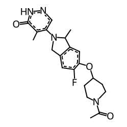 CC(=O)N1CCC(Oc2cc3c(cc2F)CN(c2cn[nH]c(=O)c2C)C3C)CC1